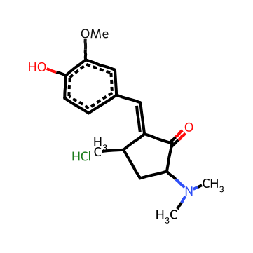 COc1cc(C=C2C(=O)C(N(C)C)CC2C)ccc1O.Cl